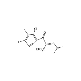 CCOC(=O)/C(=C\N(C)C)C(=O)c1ccc(F)c(C)c1Cl